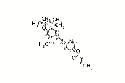 CCCC(=O)Oc1ccc(C#Cc2cc3c(cc2CC)OC(C)(C)CC3(C)C)nc1